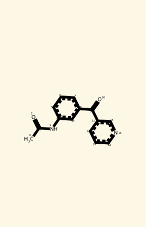 CC(=O)Nc1cccc(C(=O)c2cccnc2)c1